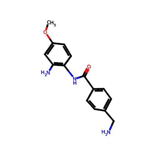 COc1ccc(NC(=O)c2ccc(CN)cc2)c(N)c1